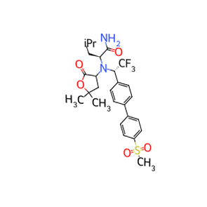 CC(C)C[C@@H](C(N)=O)N(C1CC(C)(C)OC1=O)[C@@H](c1ccc(-c2ccc(S(C)(=O)=O)cc2)cc1)C(F)(F)F